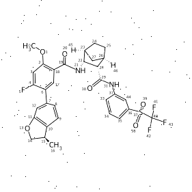 COc1cc(F)c(-c2ccc3c(c2)OC[C@@H]3C)cc1C(=O)N[C@@H]1[C@H]2CC[C@H](C2)[C@@H]1C(=O)Nc1cccc(S(=O)(=O)C(F)(F)F)c1